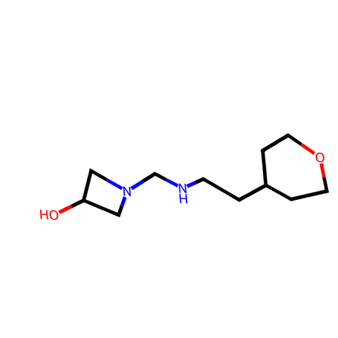 OC1CN(CNCCC2CCOCC2)C1